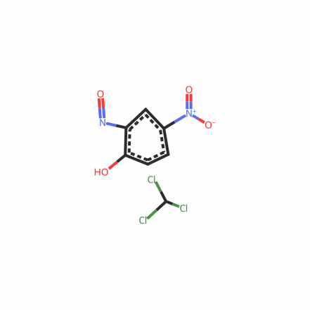 ClC(Cl)Cl.O=Nc1cc([N+](=O)[O-])ccc1O